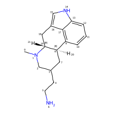 CN1CC(CCN)C[C@@H]2c3cccc4[nH]cc(c34)C[C@H]21